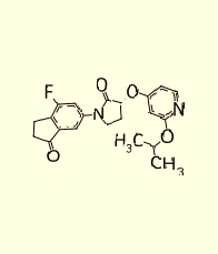 CC(C)Oc1cc(O[C@@H]2CCN(c3cc(F)c4c(c3)C(=O)CC4)C2=O)ccn1